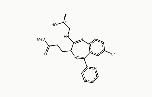 COC(=O)CCC1N=C(c2ccccn2)c2cc(Br)ccc2N=C1NC[C@H](C)O